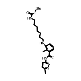 Cc1ccc(NC(=O)c2cccc(NCCCCCCCNC(=O)OC(C)(C)C)c2C)nn1